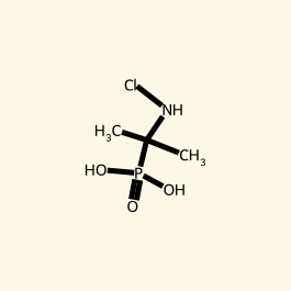 CC(C)(NCl)P(=O)(O)O